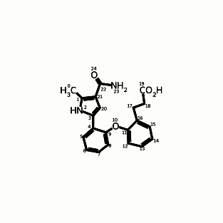 Cc1[nH]c(-c2ccccc2Oc2ccccc2CCC(=O)O)cc1C(N)=O